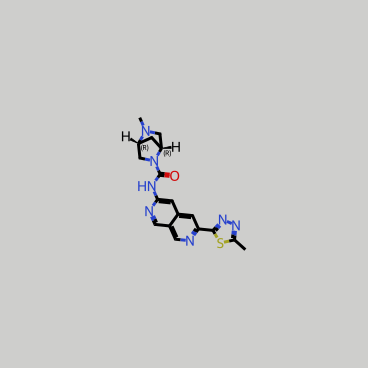 Cc1nnc(-c2cc3cc(NC(=O)N4C[C@H]5C[C@@H]4CN5C)ncc3cn2)s1